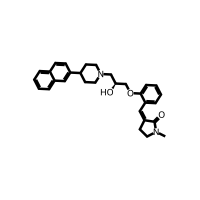 CN1CC/C(=C/c2ccccc2OC[C@@H](O)CN2CCC(c3ccc4ccccc4c3)CC2)C1=O